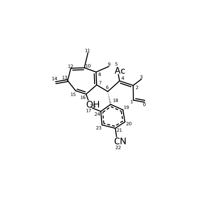 C=C/C(C)=C(/C(C)=O)[C@@H](C1=C(C)C(C)=CC(=C)C=C1O)c1ccc(C#N)cc1C